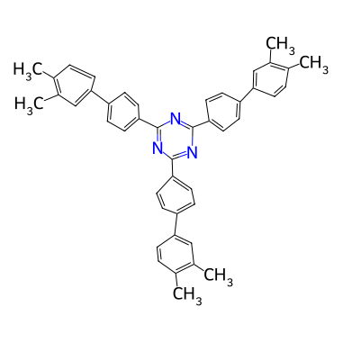 Cc1ccc(-c2ccc(-c3nc(-c4ccc(-c5ccc(C)c(C)c5)cc4)nc(-c4ccc(-c5ccc(C)c(C)c5)cc4)n3)cc2)cc1C